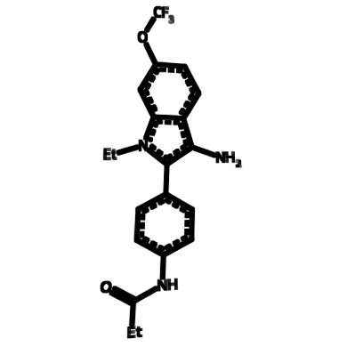 CCC(=O)Nc1ccc(-c2c(N)c3ccc(OC(F)(F)F)cc3n2CC)cc1